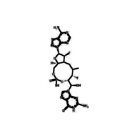 CC1CC2[C@@H](COP(=O)(S)O[C@@H]([C@@H](O)n3cnc4c(=O)[nH]c(N)nc43)[C@H]1F)O[C@@H](n1nnc3c(N)ncnc31)[C@H]2F